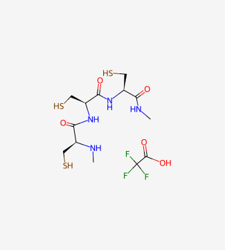 CNC(=O)[C@H](CS)NC(=O)[C@H](CS)NC(=O)[C@H](CS)NC.O=C(O)C(F)(F)F